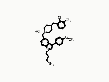 Cl.NCCCn1cc(-c2ccc(OC(F)(F)F)cc2)c2cc(CN3CCN(Cc4cccc(C(F)(F)F)c4Cl)CC3)ccc21